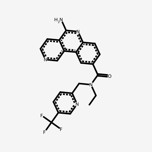 CCN(Cc1ccc(C(F)(F)F)cn1)C(=O)c1ccc2nc(N)c3ccncc3c2c1